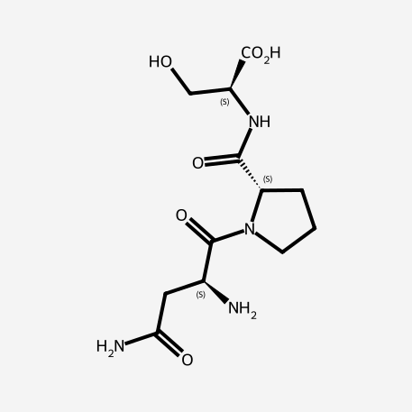 NC(=O)C[C@H](N)C(=O)N1CCC[C@H]1C(=O)N[C@@H](CO)C(=O)O